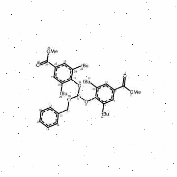 COC(=O)c1cc(C(C)(C)C)c(OP(OCc2ccccc2)Oc2c(C(C)(C)C)cc(C(=O)OC)cc2C(C)(C)C)c(C(C)(C)C)c1